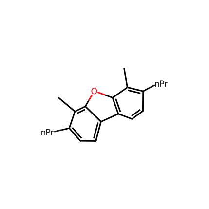 CCCc1ccc2c(oc3c(C)c(CCC)ccc32)c1C